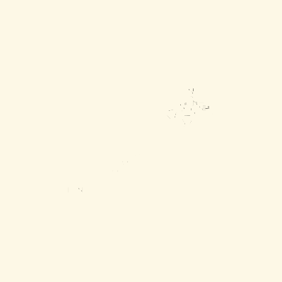 CCNC(=O)C[C@@H]1N=C(c2ccc(Cl)cc2)c2cc(OCCOCCOCCOCCOCCOCCOCCOCCOCCN)ccc2N(C(C)N)C1N